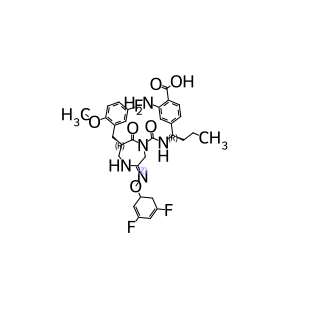 CCC[C@@H](NC(=O)N1C/C(=N/OC2C=C(F)C=C(F)C2)NC[C@@H](Cc2cc(F)ccc2OC)C1=O)c1ccc(C(=O)O)c(N)c1